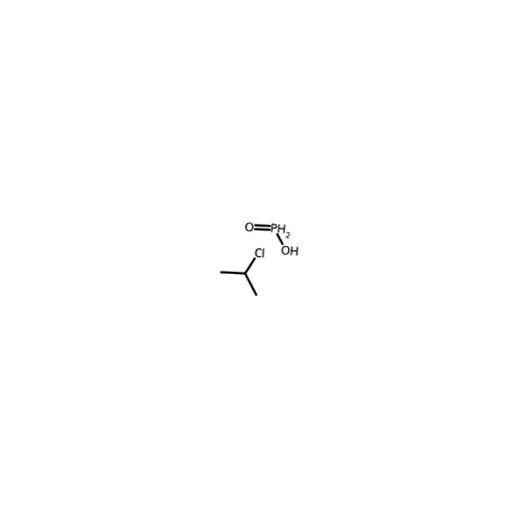 CC(C)Cl.O=[PH2]O